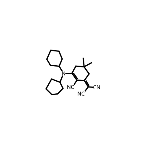 CC1(C)CC(=C(C#N)C#N)C(C#N)=C(N(C2CCCCC2)C2CCCCC2)C1